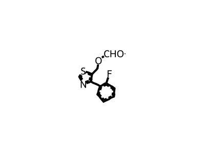 O=[C]OCc1scnc1-c1ccccc1F